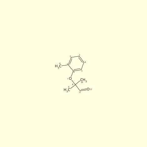 Cc1ccccc1OC(C)(C)C=O